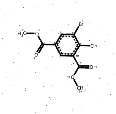 COC(=O)c1cc(Br)c(Cl)c(C(=O)OC)c1